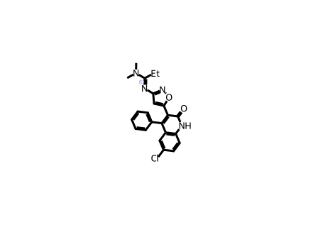 CC/C(=N\c1cc(-c2c(-c3ccccc3)c3cc(Cl)ccc3[nH]c2=O)on1)N(C)C